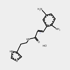 Cl.Nc1ccc(N)c(/C=C/C(=O)NCCc2cnc[nH]2)c1